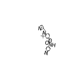 CN(C)c1ccc(NC(=O)Oc2ccc3c(c2)C(C)(C)CN3Cc2cccnc2)cc1